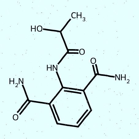 CC(O)C(=O)Nc1c(C(N)=O)cccc1C(N)=O